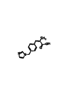 CC(=Cc1ccc(Cn2ccnc2)cc1)C(=O)O